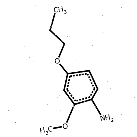 CCCOc1ccc(N)c(OC)c1